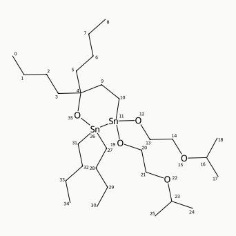 CCCCC1(CCCC)C[CH2][Sn]([O]CCOC(C)C)([O]CCOC(C)C)[Sn]([CH2]CCC)([CH2]CCC)[O]1